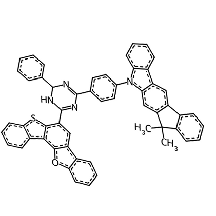 CC1(C)c2ccccc2-c2cc3c4ccccc4n(-c4ccc(C5=NC(c6ccccc6)NC(c6cc7c8ccccc8oc7c7c6sc6ccccc67)=N5)cc4)c3cc21